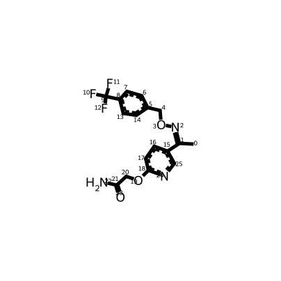 CC(=NOCc1ccc(C(F)(F)F)cc1)c1ccc(OCC(N)=O)nc1